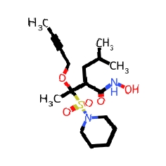 CC#CCOC(C)(C(CC(C)C)C(=O)NO)S(=O)(=O)N1CCCCC1